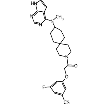 CN(c1ncnc2[nH]ccc12)C1CCC2(CC1)CCN(C(=O)COc1cc(F)cc(C#N)c1)CC2